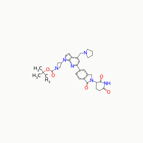 CC(C)(C)OC(=O)N1CC(n2ccc3c(CN4CCCC4)cc(-c4ccc5c(c4)CN(C4CCC(=O)NC4=O)C5=O)nc32)C1